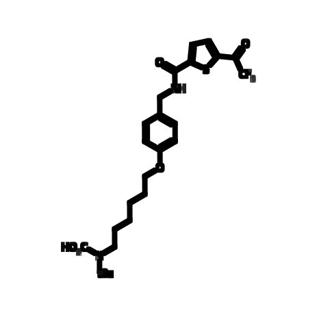 CC(C)(C)N(CCCCCCOc1ccc(CNC(=O)c2ccc(C(=O)C(F)(F)F)s2)cc1)C(=O)O